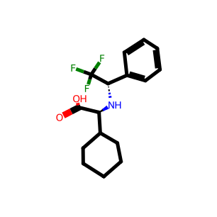 O=C(O)[C@@H](N[C@@H](c1ccccc1)C(F)(F)F)C1CCCCC1